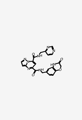 O=C1COc2ccc(CNC(=O)c3cc(C(=O)NCc4ccncn4)n4nccc4n3)cc2N1